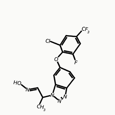 CC(C=NO)n1nnc2ccc(Oc3c(F)cc(C(F)(F)F)cc3Cl)cc21